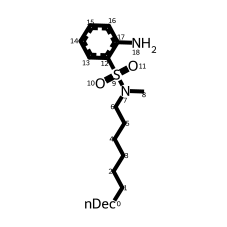 CCCCCCCCCCCCCCCCN(C)S(=O)(=O)c1ccccc1N